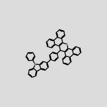 c1ccc(-n2c3ccccc3c3ccc(-c4ccc(C5c6c(c7ccccc7c7ccccc67)Sc6c5c5ccccc5c5ccccc65)cc4)cc32)cc1